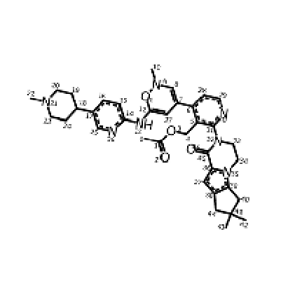 CC(=O)OCc1c(C2=CN(C)OC(Nc3ccc(C4CCN(C)CC4)cn3)=C2)ccnc1N1CCn2c(cc3c2CC(C)(C)C3)C1=O